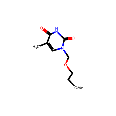 COCCOCn1cc(C)c(=O)[nH]c1=O